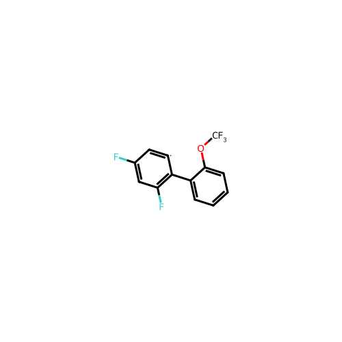 Fc1c[c]c(-c2ccccc2OC(F)(F)F)c(F)c1